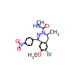 CNC(=O)N1N=C(c2ccc([N+](=O)[O-])cc2)c2cc(OC)c(Br)cc2CC1C